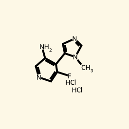 Cl.Cl.Cn1cncc1-c1c(N)cncc1F